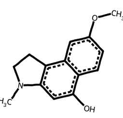 COc1ccc2c(O)cc3c(c2c1)CCN3C